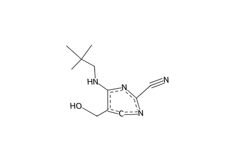 CC(C)(C)CNc1nc(C#N)ncc1CO